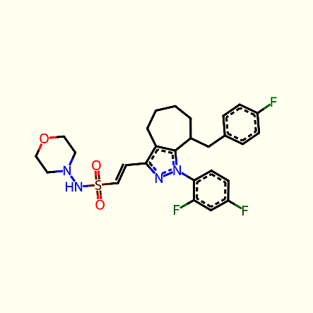 O=S(=O)(C=Cc1nn(-c2ccc(F)cc2F)c2c1CCCCC2Cc1ccc(F)cc1)NN1CCOCC1